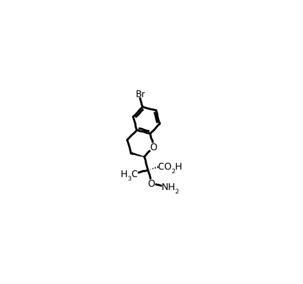 C[C@@](ON)(C(=O)O)[C@H]1CCc2cc(Br)ccc2O1